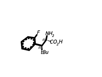 CC(C)(C)[C@@H](c1ccccc1F)[C@H](N)C(=O)O